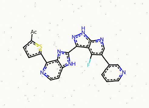 CC(=O)c1ccc(-c2nccc3[nH]c(-c4n[nH]c5ncc(-c6cccnc6)c(F)c45)nc23)s1